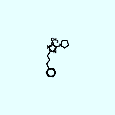 Cn1nc(CCCc2ccccc2)nc1N1CCCC1